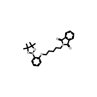 CC1(C)OB(c2ccccc2OCCCCCN2C(=O)c3ccccc3C2=O)OC1(C)C